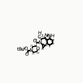 C[C@H](c1n[nH]c2ccccc12)N(C(=O)[C@H]1CN(C(=O)OC(C)(C)C)CCO1)C1CC1